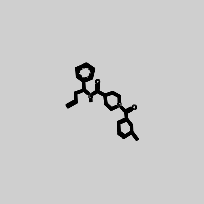 C=CCC(c1ccccc1)N(C)C(=O)C1CCN(C(=O)C2=CC=CC(C)C2)CC1